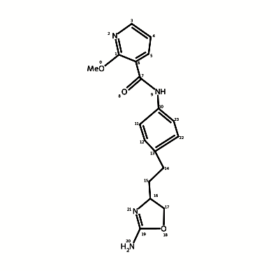 COc1ncccc1C(=O)Nc1ccc(CCC2COC(N)=N2)cc1